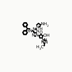 CCc1nnn([C@@H]2C[C@@H](n3cnc4c(NCC(c5ccccc5)c5ccccc5)nc(N5CC[C@@H](N)C5)nc43)[C@H](O)[C@@H]2O)n1